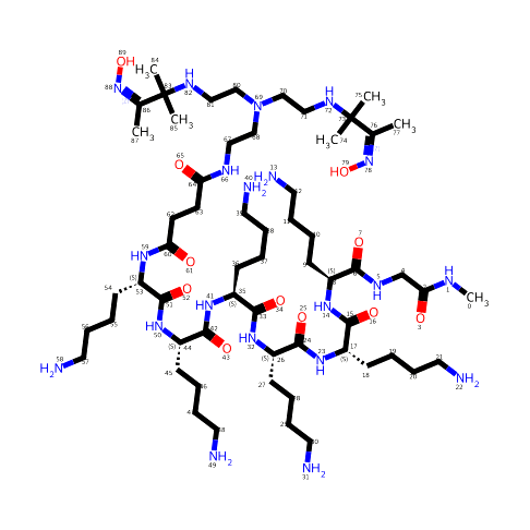 CNC(=O)CNC(=O)[C@H](CCCCN)NC(=O)[C@H](CCCCN)NC(=O)[C@H](CCCCN)NC(=O)[C@H](CCCCN)NC(=O)[C@H](CCCCN)NC(=O)[C@H](CCCCN)NC(=O)CCC(=O)NCCN(CCNC(C)(C)/C(C)=N\O)CCNC(C)(C)/C(C)=N\O